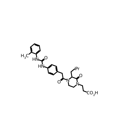 Cc1ccccc1NC(=O)Nc1ccc(CC(=O)N2CCN(CCC(=O)O)C(=O)C2CC(C)C)cc1